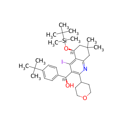 CC1(C)Cc2nc(C3CCOCC3)c([C@@H](O)c3ccc(C(C)(C)C)cc3)c(I)c2[C@@H](O[Si](C)(C)C(C)(C)C)C1